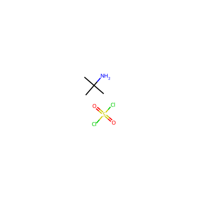 CC(C)(C)N.O=S(=O)(Cl)Cl